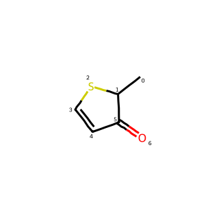 CC1SC=CC1=O